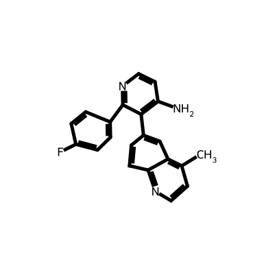 Cc1ccnc2ccc(-c3c(N)ccnc3-c3ccc(F)cc3)cc12